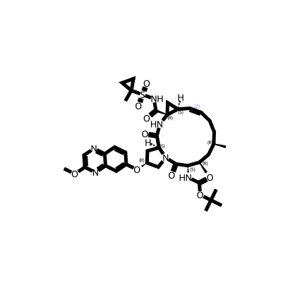 COc1cnc2ccc(O[C@@H]3C[C@H]4C(=O)N[C@]5(C(=O)NS(=O)(=O)C6(C)CC6)C[C@H]5/C=C\CC[C@@H](C)C[C@@H](C)[C@H](NC(=O)OC(C)(C)C)C(=O)N4C3)cc2n1